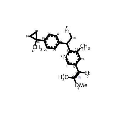 CC/C(=C(/C)OC)c1cnc(C(CC(C)C)c2ccc(C3(C)CC3)cc2)c(C)c1